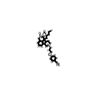 CCCC(CC1(C2CCN(CCCOc3ccc(C#N)cc3)CC2)CN(C)Cc2ccccc21)OC